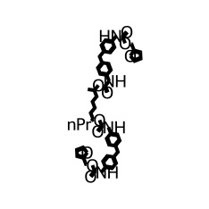 CCCC(CCCCC(C)OC(=O)Nc1ccc(Cc2ccc(NC(=O)OCc3ccco3)cc2)cc1)OC(=O)Nc1ccc(Cc2ccc(NC(=O)OCc3ccco3)cc2)cc1